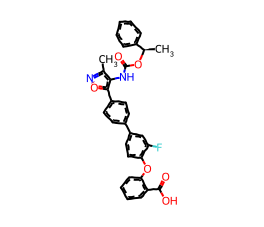 Cc1noc(-c2ccc(-c3ccc(Oc4ccccc4C(=O)O)c(F)c3)cc2)c1NC(=O)O[C@H](C)c1ccccc1